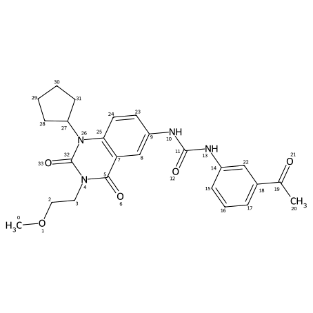 COCCn1c(=O)c2cc(NC(=O)Nc3cccc(C(C)=O)c3)ccc2n(C2CCCC2)c1=O